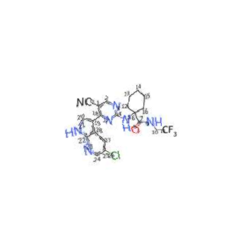 N#Cc1cnc(NC2(C(=O)NCC(F)(F)F)CCCCC2)nc1-c1c[nH]c2ncc(Cl)cc12